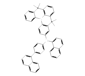 CC1(C)c2ccccc2N2c3ccc(N(c4ccc(-c5cccc6ccccc56)cc4)c4cccc5ccccc45)cc3C(C)(C)c3cccc1c32